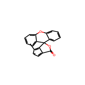 Cc1cccc2c1C1(OC2=O)c2ccccc2Oc2ccccc21